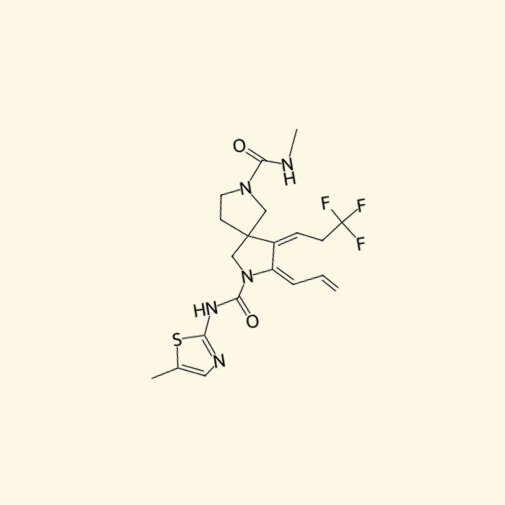 C=C/C=C1\C(=C/CC(F)(F)F)C2(CCN(C(=O)NC)C2)CN1C(=O)Nc1ncc(C)s1